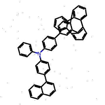 c1ccc(N(c2ccc(-c3ccc4c(c3)-c3c5cccc3-c3cccc-4c3-c3ccccc3-5)cc2)c2ccc(-c3cccc4ccccc34)cc2)cc1